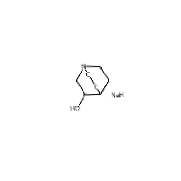 OC1CN2CCC1CC2.[NaH]